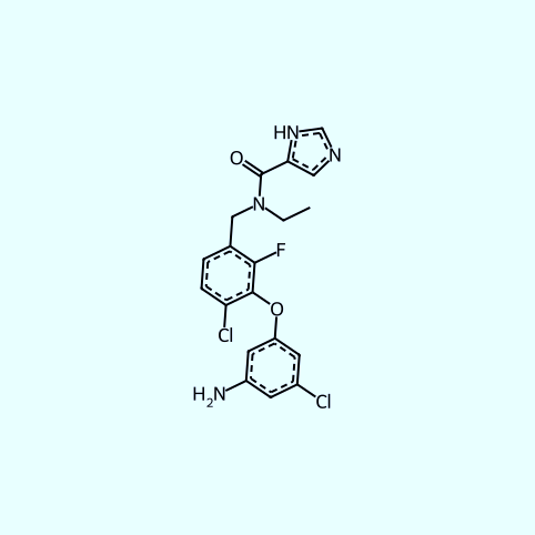 CCN(Cc1ccc(Cl)c(Oc2cc(N)cc(Cl)c2)c1F)C(=O)c1cnc[nH]1